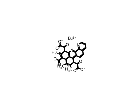 CC(=O)C(C(=O)C(=O)[O-])c1nc2c(ccc3cccnc32)c(C(C(C)=O)C(=O)C(=O)[O-])c1C(C(C)=O)C(=O)C(=O)[O-].[Eu+3]